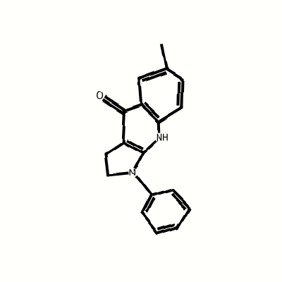 Cc1ccc2[nH]c3c(c(=O)c2c1)CCN3c1ccccc1